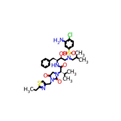 CCc1nc(CN2C(=O)CN([C@H](C(=O)N[C@@H](Cc3ccccc3)[C@@H](O)CN(CC(C)C)S(=O)(=O)c3ccc(Cl)c(N)c3)C(C)C)C2=O)cs1